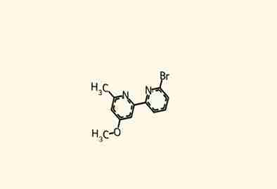 COc1cc(C)nc(-c2cccc(Br)n2)c1